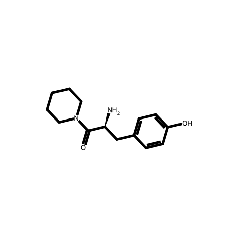 N[C@@H](Cc1ccc(O)cc1)C(=O)N1CC[CH]CC1